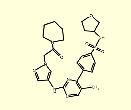 Cc1cnc(Nc2cnn(CC(=O)N3CCCCC3)c2)nc1-c1ccc(S(=O)(=O)NC2CCOC2)cc1